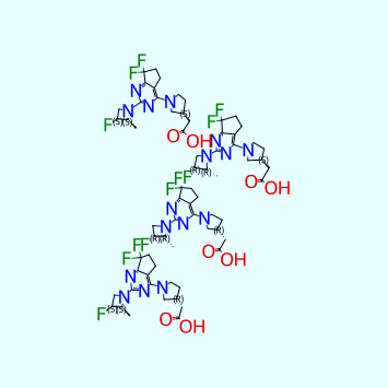 C[C@@H]1[C@H](F)CN1c1nc(N2CC[C@@H](CC(=O)O)C2)c2c(n1)C(F)(F)CC2.C[C@@H]1[C@H](F)CN1c1nc(N2CC[C@H](CC(=O)O)C2)c2c(n1)C(F)(F)CC2.C[C@H]1[C@@H](F)CN1c1nc(N2CC[C@@H](CC(=O)O)C2)c2c(n1)C(F)(F)CC2.C[C@H]1[C@@H](F)CN1c1nc(N2CC[C@H](CC(=O)O)C2)c2c(n1)C(F)(F)CC2